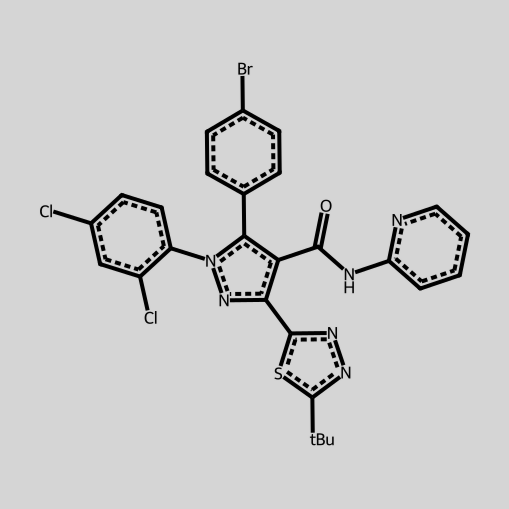 CC(C)(C)c1nnc(-c2nn(-c3ccc(Cl)cc3Cl)c(-c3ccc(Br)cc3)c2C(=O)Nc2ccccn2)s1